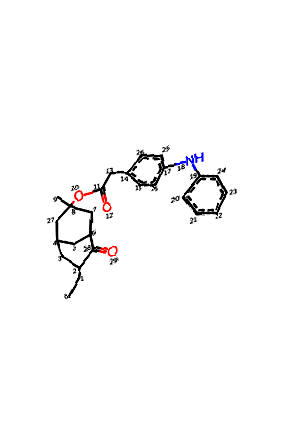 CCC1CC2CC(CC(C)(OC(=O)Cc3ccc(Nc4ccccc4)cc3)C2)C1=O